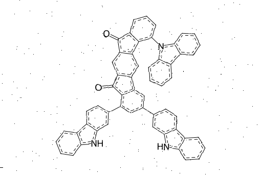 O=c1c2cc3c(=O)c4c(-c5ccc6c(c5)[nH]c5ccccc56)cc(-c5ccc6c(c5)[nH]c5ccccc56)cc4c3cc2c2c(-n3c4ccccc4c4ccccc43)cccc12